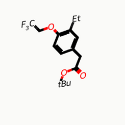 CCc1cc(CC(=O)OC(C)(C)C)ccc1OCC(F)(F)F